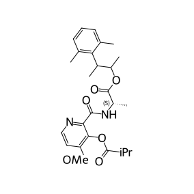 COc1ccnc(C(=O)N[C@@H](C)C(=O)OC(C)C(C)c2c(C)cccc2C)c1OC(=O)C(C)C